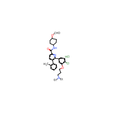 CCN(CC)CCCOc1cc(-c2nc(C(=O)NC3CCC(OC=O)CC3)ccc2-c2ccccc2C)ccc1Cl.Cl